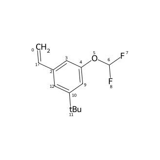 C=[C]c1cc(OC(F)F)cc(C(C)(C)C)c1